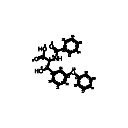 O=C(NC(C(=O)O)C(O)c1cccc(Oc2ccccc2)c1)c1ccccc1